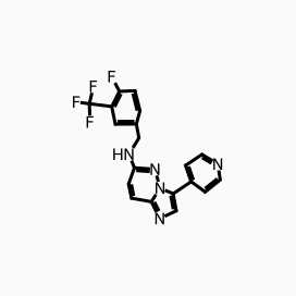 Fc1ccc(CNc2ccc3ncc(-c4ccncc4)n3n2)cc1C(F)(F)F